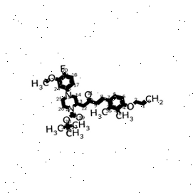 C=CCOc1ccc(C=CC(=O)CC2CN(c3ccc(F)c(OC)c3)CCN2C(=O)OC(C)(C)C)c(C)c1C